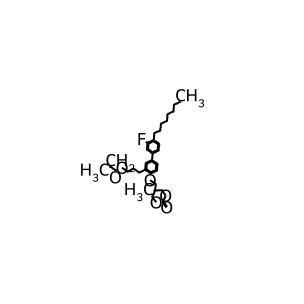 C=C(C)C(=O)OCCCc1cc(-c2ccc(CCCCCCCCC)c(F)c2)ccc1OCC1(C)COC(=O)OC1